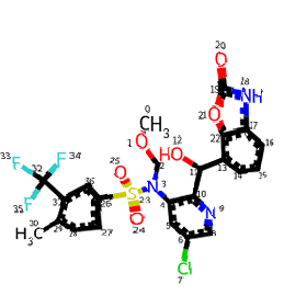 COCN(c1cc(Cl)cnc1C(O)c1cccc2[nH]c(=O)oc12)S(=O)(=O)c1ccc(C)c(C(F)(F)F)c1